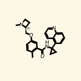 Cc1ccc(OC[C@@H]2CCN2C)cc1C(=O)NC1(c2cccc3ncccc23)CC1